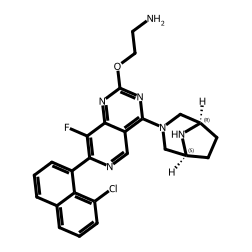 NCCOc1nc(N2C[C@H]3CC[C@@H](C2)N3)c2cnc(-c3cccc4cccc(Cl)c34)c(F)c2n1